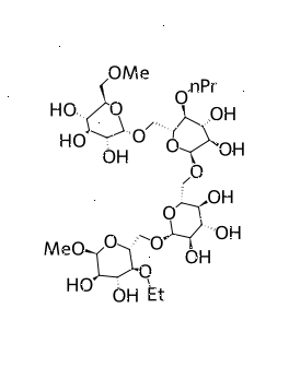 CCCO[C@H]1[C@H](O)[C@@H](O)[C@@H](OC[C@H]2O[C@H](OC[C@H]3O[C@H](OC)[C@H](O)[C@@H](O)[C@@H]3OCC)[C@H](O)[C@@H](O)[C@@H]2O)O[C@@H]1CO[C@H]1O[C@H](COC)[C@@H](O)[C@H](O)[C@H]1O